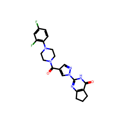 O=C(c1cnn(-c2nc3c(c(=O)[nH]2)CCC3)c1)N1CCN(c2ccc(F)cc2F)CC1